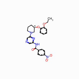 CCOc1ccccc1O[C@@H]1CCCN(c2cncc(NC(=O)c3ccc([N+](=O)[O-])cc3)n2)C1